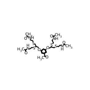 CC(=O)NCCSCC(COc1cc(OCC(CSCCNC(C)=O)SCCNC(C)=O)cc(C(C)=O)c1)SCCNC(C)=O